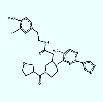 COc1ccc(CCNC(=O)CC2CN(C(=O)C3CCOC3)CCN2c2nc(-n3ccnc3)ncc2C)cc1Cl